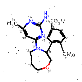 COc1ccc(C(=O)O)cc1C1COCCCN1c1cc(C)nc(N)n1